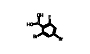 OB(O)c1c(F)cc(Br)cc1Br